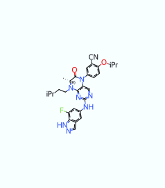 CC(C)CCN1c2nc(Nc3cc(F)c4[nH]ncc4c3)ncc2N(c2ccc(OC(C)C)c(C#N)c2)C(=O)[C@H]1C